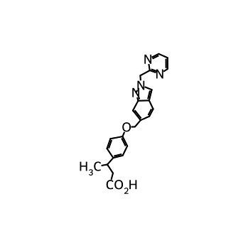 CC(CC(=O)O)c1ccc(OCc2ccc3cn(Cc4ncccn4)nc3c2)cc1